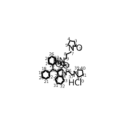 Cl.O=C1CCCN1CCCNS(=O)(=O)c1c(C(c2ccccc2)c2ccccc2)c2ccccc2n1CCN1CCCC1